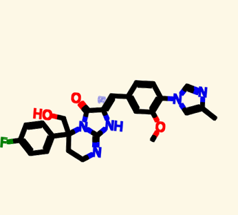 COc1cc(/C=c2\[nH]c3n(c2=O)C(CO)(c2ccc(F)cc2)CCN=3)ccc1-n1cnc(C)c1